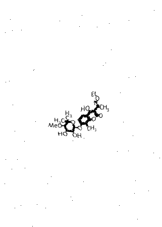 CCON=C(C)c1c(O)c2ccc(O[C@@H]3OC(C)(C)[C@H](OC)[C@H](O)[C@H]3O)c(C)c2oc1=O